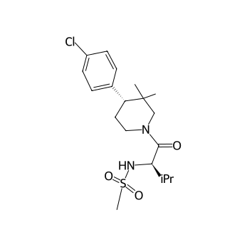 CC(C)[C@@H](NS(C)(=O)=O)C(=O)N1CC[C@H](c2ccc(Cl)cc2)C(C)(C)C1